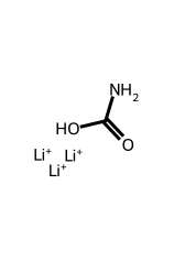 NC(=O)O.[Li+].[Li+].[Li+]